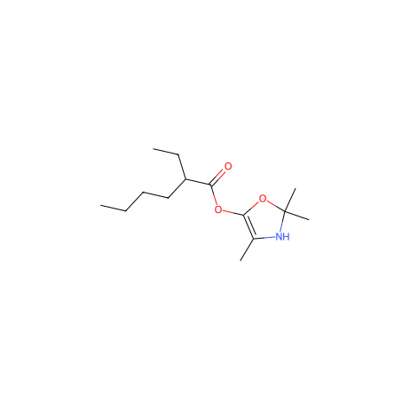 CCCCC(CC)C(=O)OC1=C(C)NC(C)(C)O1